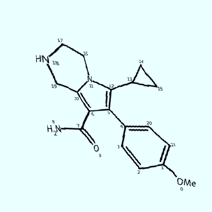 COc1ccc(-c2c(C(N)=O)c3n(c2C2CC2)CCNC3)cc1